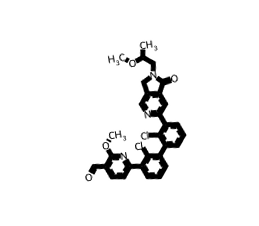 COc1nc(-c2cccc(-c3cccc(-c4cc5c(cn4)CN(CC(C)OC)C5=O)c3Cl)c2Cl)ccc1C=O